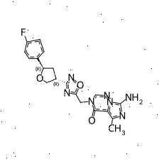 Cc1nc(N)n2ncn(Cc3nc([C@@H]4CO[C@@H](c5ccc(F)cc5)C4)no3)c(=O)c12